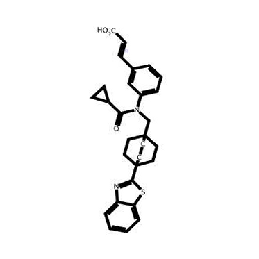 O=C(O)/C=C/c1cccc(N(CC23CCC(c4nc5ccccc5s4)(CC2)CC3)C(=O)C2CC2)c1